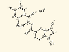 Cl.N[C@H](CC(=O)N1CCn2c(C(F)(F)F)nc(Cl)c2C1)C(=O)c1cc(F)c(F)cc1F